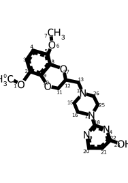 COc1ccc(OC)c2c1OCC(CN1CCN(c3nccc(O)n3)CC1)O2